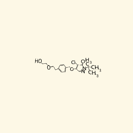 CC(C)(C)n1ncc(OCc2ccc(CCOCCO)cc2)c(Cl)c1=O